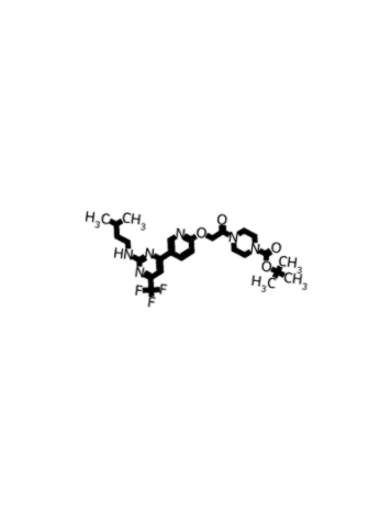 CC(C)CCNc1nc(-c2ccc(OCC(=O)N3CCN(C(=O)OC(C)(C)C)CC3)nc2)cc(C(F)(F)F)n1